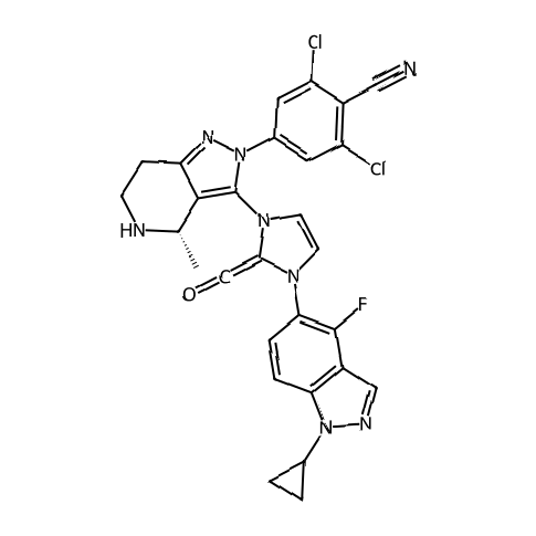 C[C@@H]1NCCc2nn(-c3cc(Cl)c(C#N)c(Cl)c3)c(N3C=CN(c4ccc5c(cnn5C5CC5)c4F)C3=C=O)c21